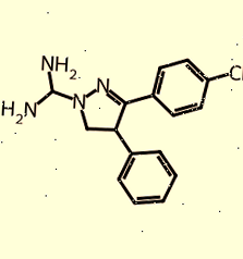 NC(N)N1CC(c2ccccc2)C(c2ccc(Cl)cc2)=N1